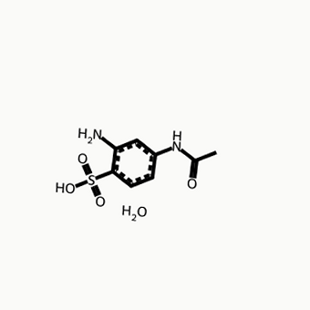 CC(=O)Nc1ccc(S(=O)(=O)O)c(N)c1.O